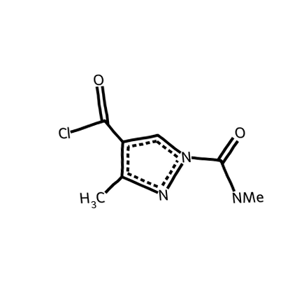 CNC(=O)n1cc(C(=O)Cl)c(C)n1